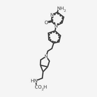 Nc1ccn(-c2ccc(CCN3CC4C(CNC(=O)O)C4C3)cc2)c(=O)n1